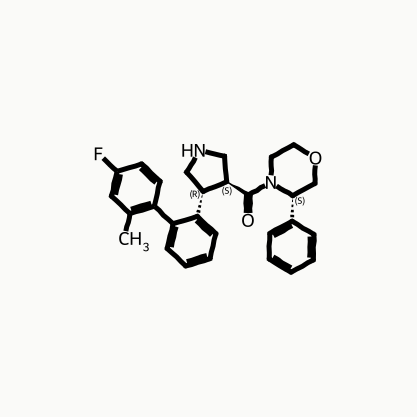 Cc1cc(F)ccc1-c1ccccc1[C@@H]1CNC[C@H]1C(=O)N1CCOC[C@@H]1c1ccccc1